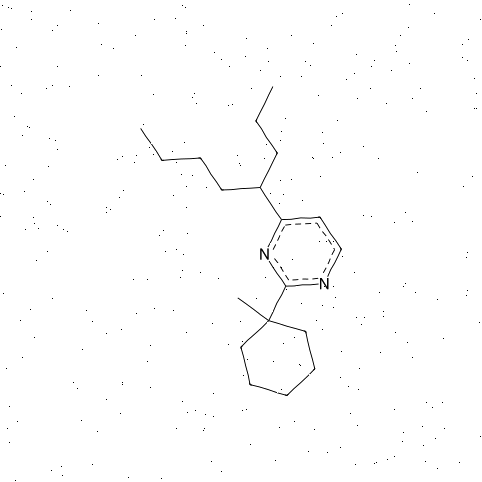 CCCCC(CCC)c1ccnc(C2(C)CCCCC2)n1